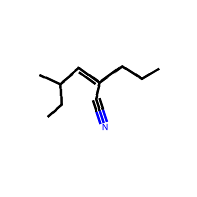 CCCC(C#N)=CC(C)CC